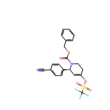 N#Cc1ccc([C@@H]2C=C(OS(=O)(=O)C(F)(F)F)CCN2C(=O)OCc2ccccc2)cc1